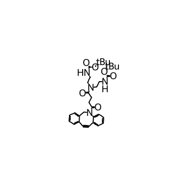 CC(C)(C)OC(=O)NCCN(CCNC(=O)OC(C)(C)C)C(=O)CCC(=O)N1Cc2ccccc2C#Cc2ccccc21